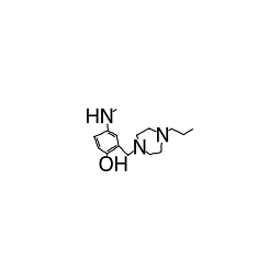 CCCN1CCN(Cc2cc(NC)ccc2O)CC1